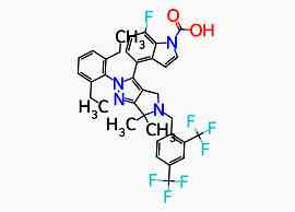 CCc1cccc(CC)c1-n1nc2c(c1-c1ccc(F)c3c1ccn3C(=O)O)CN(Cc1ccc(C(F)(F)F)cc1C(F)(F)F)C2(C)C